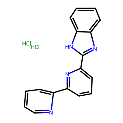 Cl.Cl.c1ccc(-c2cccc(-c3nc4ccccc4[nH]3)n2)nc1